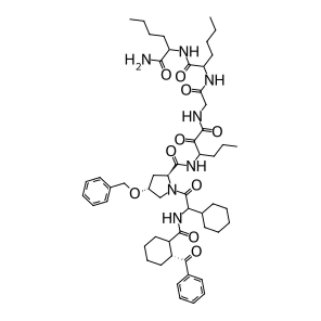 CCCCC(NC(=O)C(CCCC)NC(=O)CNC(=O)C(=O)C(CCC)NC(=O)[C@@H]1C[C@@H](OCc2ccccc2)CN1C(=O)C(NC(=O)C1CCCC[C@H]1C(=O)c1ccccc1)C1CCCCC1)C(N)=O